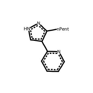 CCCCCc1n[nH]cc1-c1ccccn1